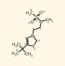 CN(CCN1C=C(C(C)(C)C)SC1)S(C)(=O)=O